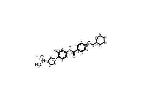 CN(C)[C@@H]1CCN(c2ccc(NC(=O)c3ccc(OCC4CCCCO4)cc3)cc2F)C1